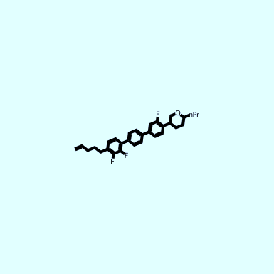 C=CCCCc1ccc(-c2ccc(-c3ccc(C4CCC(CCC)OC4)c(F)c3)cc2)c(F)c1F